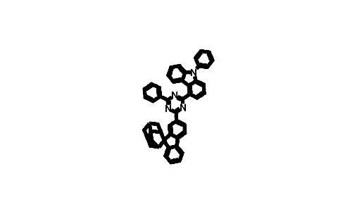 c1ccc(-c2nc(-c3ccc4c(c3)C3(c5ccccc5-4)C4CC5CC(C4)CC3C5)nc(-c3cccc4c3c3ccccc3n4-c3ccccc3)n2)cc1